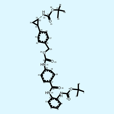 CC(C)(C)OC(=O)Nc1ccccc1NC(=O)c1ccc(NC(=O)OCc2ccc(C3C[C@@H]3NC(=O)OC(C)(C)C)cc2)cc1